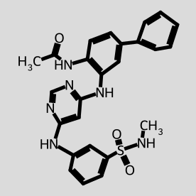 CNS(=O)(=O)c1cccc(Nc2cc(Nc3cc(-c4ccccc4)ccc3NC(C)=O)ncn2)c1